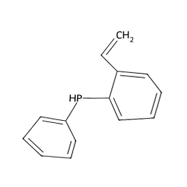 C=Cc1ccccc1Pc1ccccc1